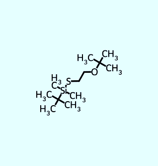 CC(C)(C)OCCS[Si](C)(C)C(C)(C)C